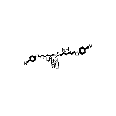 Cl.Cl.Cl.Cl.N#Cc1ccc(OCCCCC(N)CSSCC(N)CCCCOc2ccc(C#N)cc2)cc1